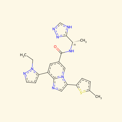 CCn1nccc1-c1cc(C(=O)N[C@@H](C)c2nnc[nH]2)cn2c(-c3ccc(C)s3)cnc12